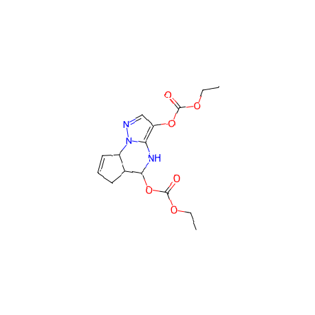 CCOC(=O)Oc1cnn2c1NC(OC(=O)OCC)C1CC=CC12